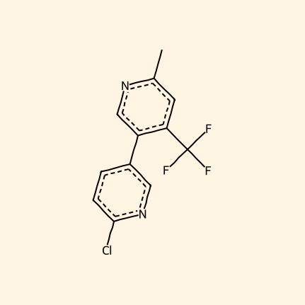 Cc1cc(C(F)(F)F)c(-c2ccc(Cl)nc2)cn1